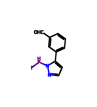 O=Cc1cccc(-c2ccnn2PI)c1